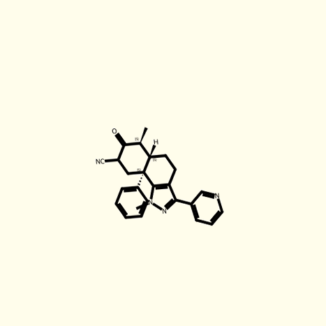 C[C@@H]1C(=O)C(C#N)C[C@]2(c3ccccc3)c3c(c(-c4cccnc4)nn3C)CC[C@@H]12